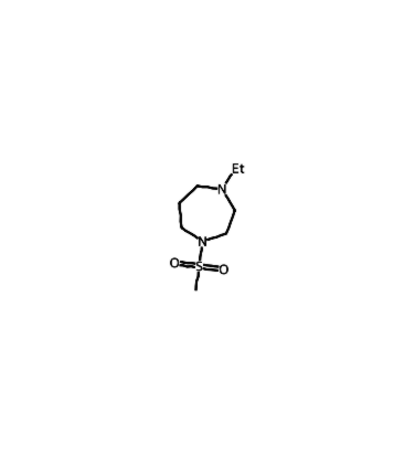 CCN1CCCN(S(C)(=O)=O)CC1